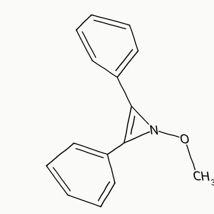 CON1C(c2ccccc2)=C1c1ccccc1